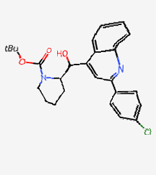 CC(C)(C)OC(=O)N1CCCC[C@@H]1C(O)c1cc(-c2ccc(Cl)cc2)nc2ccccc12